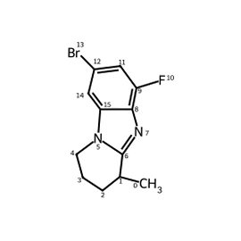 CC1CCCn2c1nc1c(F)cc(Br)cc12